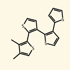 Cc1csc(-c2sccc2-c2sccc2-c2cccs2)c1C